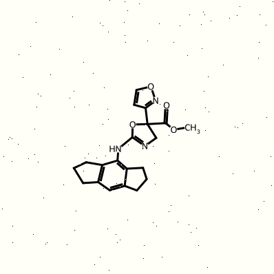 COC(=O)C1(c2ccon2)CN=C(Nc2c3c(cc4c2CCC4)CCC3)O1